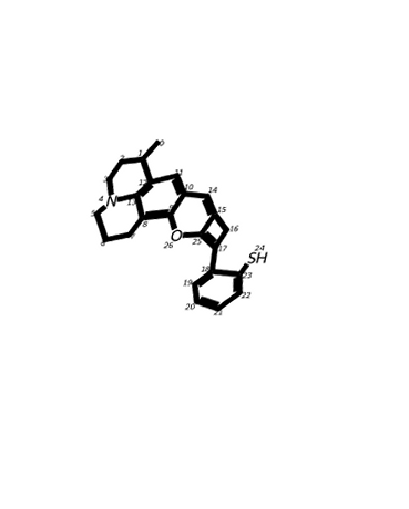 CC1CCN2CCCc3c4c(cc1c32)C=C1CC(c2ccccc2S)=C1O4